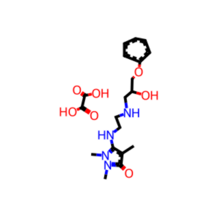 Cc1c(NCCNCC(O)COc2ccccc2)n(C)n(C)c1=O.O=C(O)C(=O)O